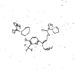 CN(C(=O)OC/C=C(/C=N)c1ccc(O[C@H]2CCC[C@H](C(=O)O)C2)c(C(F)(F)F)n1)C1CCCC1